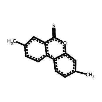 Cc1ccc2c(c1)oc(=S)c1cc(C)ccc12